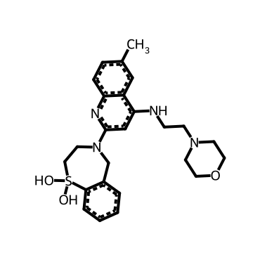 Cc1ccc2nc(N3CCS(O)(O)c4ccccc4C3)cc(NCCN3CCOCC3)c2c1